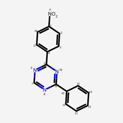 O=[N+]([O-])c1ccc(-c2ncnc(-c3ccccc3)n2)cc1